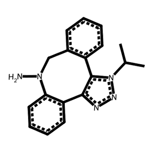 CC(C)n1nnc2c1-c1ccccc1CN(N)c1ccccc1-2